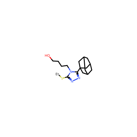 CCSc1nnc(C23CC4CC(CC(C4)C2)C3)n1CCCCO